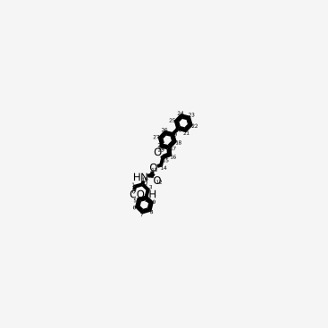 O=C(O)CC(Cc1ccccc1)NC(=O)OCc1cc2cc(-c3ccccc3)ccc2o1